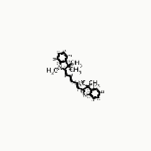 CN1/C(=C/C=C/C=C/C2=Nc3ccccc3C2(C)C)C(C)(C)c2ccccc21